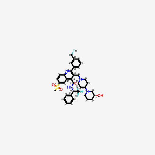 CS(=O)(=O)c1ccc2nc(-c3cccc(CF)c3)c(CN3CCC(N4CCC[C@@H](O)C4)CC3)c(C(=O)N[C@H](c3ccccc3)C(F)(F)F)c2c1